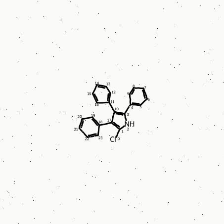 Clc1[nH]c(-c2ccccc2)c(-c2ccccc2)c1-c1ccccc1